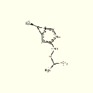 CC(C)CNc1cc2c(cn1)[C@@H]2C